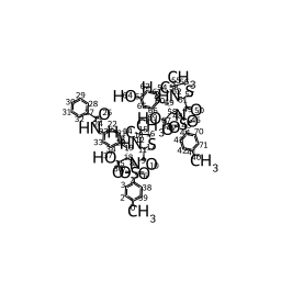 Cc1ccc(S(=O)(=O)N(C(=O)[C@H]2NC(C)(C)CS2)[C@@H](Cc2ccc(NC(=O)c3ccccc3)cc2)C(=O)O)cc1.Cc1ccc(S(=O)(=O)N(C(=O)[C@H]2NC(C)(C)CS2)[C@@H](Cc2ccc(O)cc2)C(=O)O)cc1